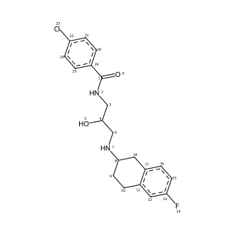 O=C(NCC(O)CNC1CCc2cc(F)ccc2C1)c1ccc(Cl)cc1